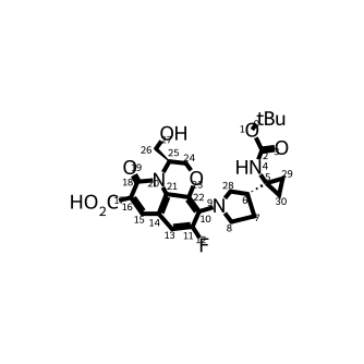 CC(C)(C)OC(=O)NC1([C@@H]2CCN(c3c(F)cc4cc(C(=O)O)c(=O)n5c4c3OC[C@@H]5CO)C2)CC1